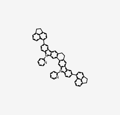 c1ccc(-n2c3ccc(-c4ccc5c6c(cccc46)CC5)cc3c3cc4c(cc32)-c2cc3c(cc2CC4)c2cc(-c4ccc5c6c(cccc46)CC5)ccc2n3-c2ccccn2)nc1